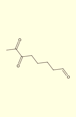 CC(=O)C(=O)CCCCC=O